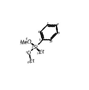 CCO[Si](CC)(OC)c1ccccc1